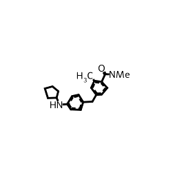 CNC(=O)c1ccc(Cc2ccc(NC3CCCC3)cc2)cc1C